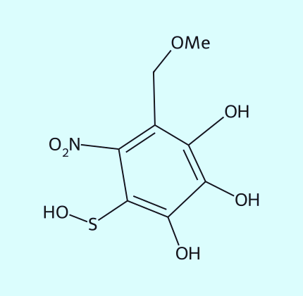 COCc1c(O)c(O)c(O)c(SO)c1[N+](=O)[O-]